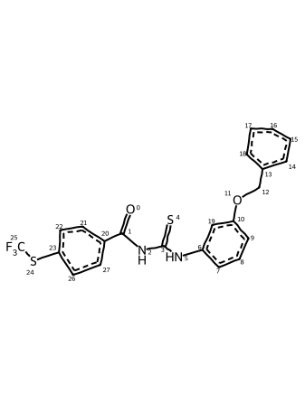 O=C(NC(=S)Nc1cccc(OCc2ccccc2)c1)c1ccc(SC(F)(F)F)cc1